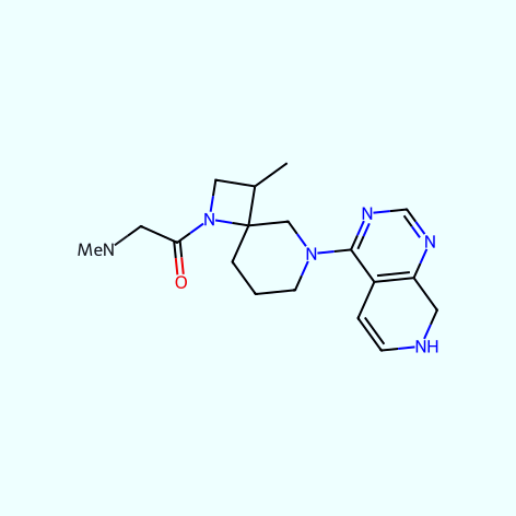 CNCC(=O)N1CC(C)C12CCCN(c1ncnc3c1C=CNC3)C2